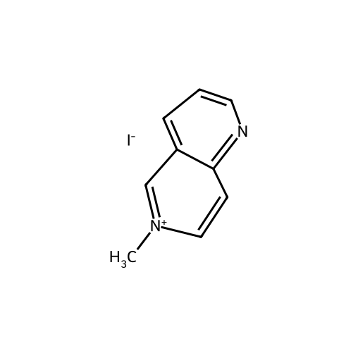 C[n+]1ccc2ncccc2c1.[I-]